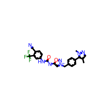 Cc1cnn(C)c1-c1ccc(C[n+]2cc([N-]C(=O)Nc3ccc(C#N)c(C(F)(F)F)c3)on2)cc1